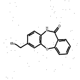 CC(C)(C)Cc1ccc2c(c1)Oc1ccccc1C(=O)N2